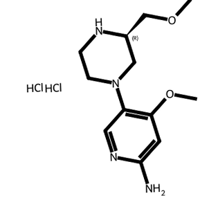 COC[C@H]1CN(c2cnc(N)cc2OC)CCN1.Cl.Cl